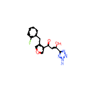 O=C(C=C(O)c1nn[nH]n1)c1cocc1Cc1ccccc1F